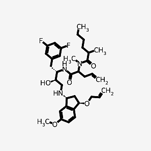 C=CCO[C@@H]1C[C@@H](NC[C@@H](O)[C@H](Cc2cc(F)cc(F)c2)NC(=O)C(CC=C)N(C)C(=O)C(C)CCCC)c2cc(OC)ccc21